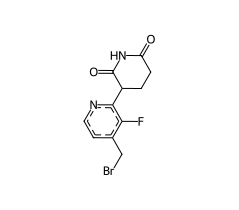 O=C1CCC(c2nccc(CBr)c2F)C(=O)N1